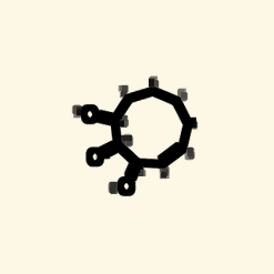 O=C1/C=C\CCCCC(=O)C1=O